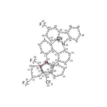 N#Cc1cccc(-n2c3ccccc3c3cc(C(F)(F)F)ccc32)c1-c1c(-c2cc(C(F)(F)F)cc(C(F)(F)F)c2)cccc1-n1c2ccccc2c2cc(C(F)(F)F)ccc21